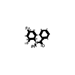 CC(C)N(C(=O)c1ccccc1)c1ccc(F)cc1F